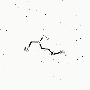 CCN(C)CCNN